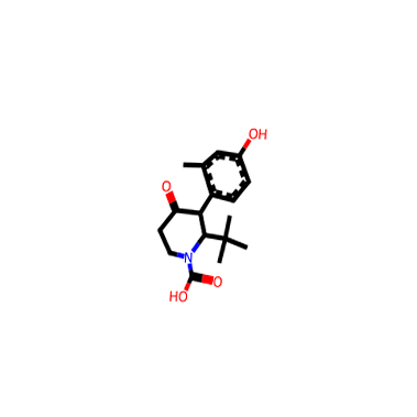 Cc1cc(O)ccc1C1C(=O)CCN(C(=O)O)C1C(C)(C)C